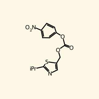 CC(C)c1ncc(COC(=O)Oc2ccc([N+](=O)[O-])cc2)s1